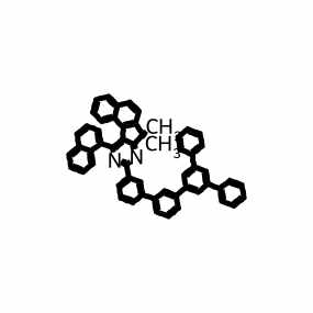 CC1(C)c2ccc3ccccc3c2-c2c(-c3cccc4ccccc34)nc(-c3cccc(-c4cccc(-c5cc(-c6ccccc6)cc(-c6ccccc6)c5)c4)c3)nc21